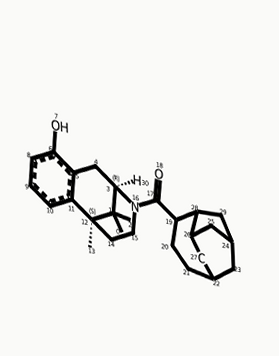 CC1(C)[C@H]2Cc3c(O)cccc3[C@]1(C)CCN2C(=O)C1CCC2CC3CC(C2)C1C3